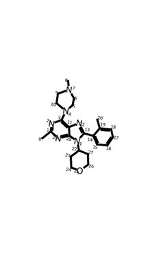 Cc1nc(N2CCN(C)CC2)c2nc(-c3ccccc3C)n(C3CCOCC3)c2n1